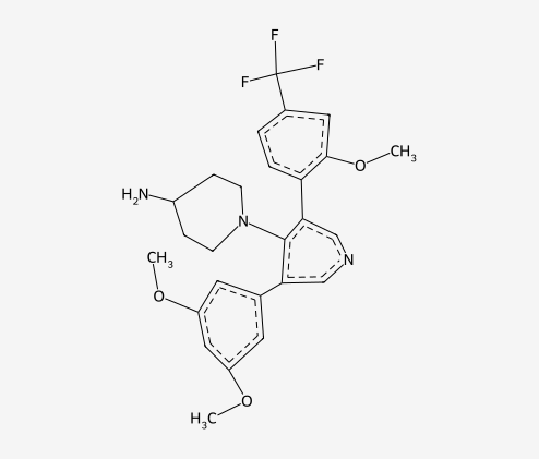 COc1cc(OC)cc(-c2cncc(-c3ccc(C(F)(F)F)cc3OC)c2N2CCC(N)CC2)c1